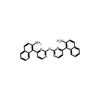 Nc1ccc2ccccc2c1-c1ccnc(Oc2nccc(-c3c(N)ccc4ccccc34)n2)n1